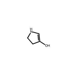 OC1=CNCC1